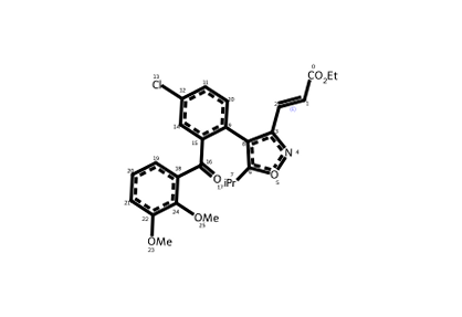 CCOC(=O)/C=C/c1noc(C(C)C)c1-c1ccc(Cl)cc1C(=O)c1cccc(OC)c1OC